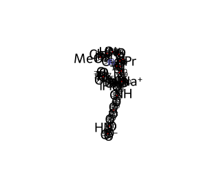 COc1ccc(C[C@H]2NC(=O)/C=C/C[C@@H]([C@H](C)[C@H]3O[C@@H]3c3ccc(CNC(=O)[C@H](CCCCNC(=O)CCOCCOCCOCCOCCC(=O)NCCS(=O)(=O)[O-])NC(=O)[C@@H](NC(=O)CCCC(=O)ON4C(=O)CCC4=O)C(C)C)cc3)OC(=O)[C@H](CC(C)C)OC(=O)C(C)(C)CNC2=O)cc1Cl.[Na+]